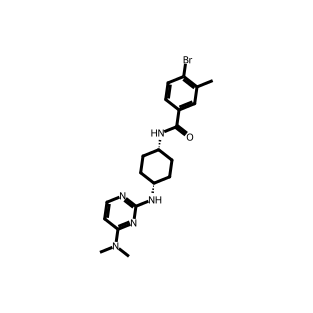 Cc1cc(C(=O)N[C@H]2CC[C@@H](Nc3nccc(N(C)C)n3)CC2)ccc1Br